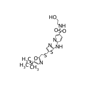 C[Si](C)(C)c1cnc(CSc2cnc(Nc3ccc(S(=O)(=O)NCCO)cn3)s2)o1